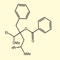 CCCC(CC(Cc1ccccc1)(OC(=O)c1ccccc1)C(CC)OC)NC